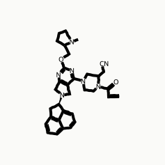 C=CC(=O)N1CCN(c2nc(OCC3CCCN3C)nc3c2CN([C@@H]2Cc4cccc5cccc2c45)C3)CC1CC#N